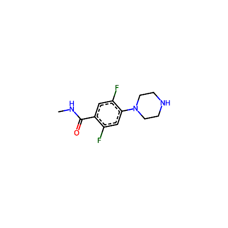 CNC(=O)c1cc(F)c(N2CCNCC2)cc1F